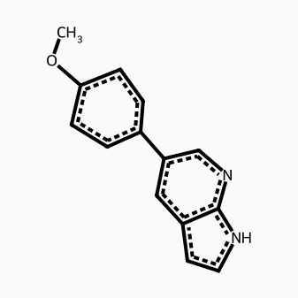 COc1ccc(-c2cnc3[nH]ccc3c2)cc1